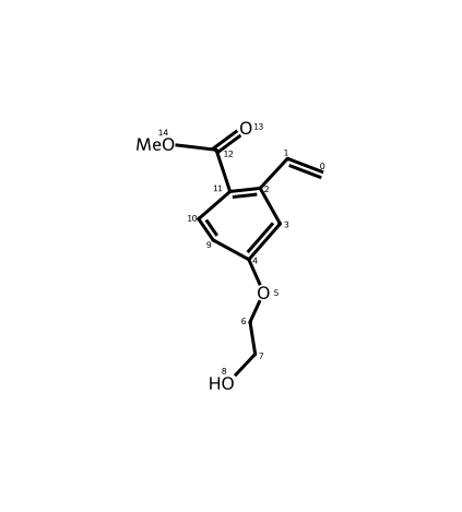 C=Cc1cc(OCCO)ccc1C(=O)OC